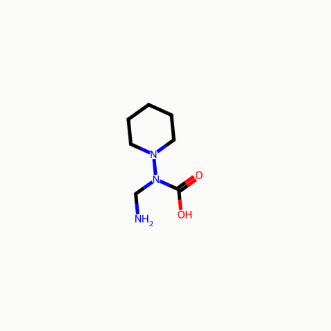 NCN(C(=O)O)N1CCCCC1